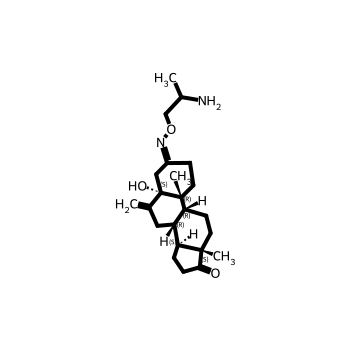 C=C1C[C@@H]2[C@@H](CC[C@]3(C)C(=O)CC[C@@H]23)[C@@]2(C)CCC(=NOCC(C)N)C[C@]12O